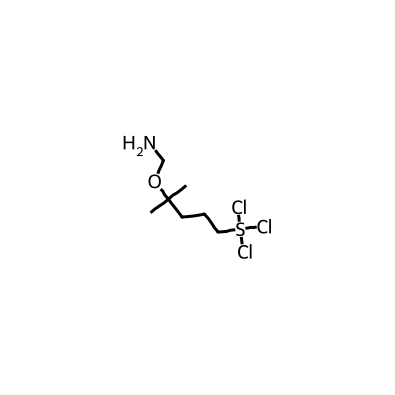 CC(C)(CCCS(Cl)(Cl)Cl)OCN